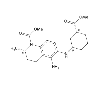 COC(=O)[C@@H]1CCC[C@H](Nc2ccc3c(c2N)CC[C@H](C)N3C(=O)OC)C1